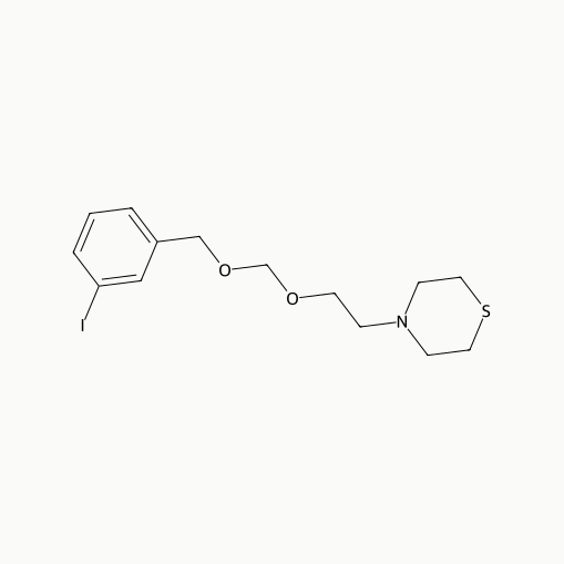 Ic1cccc(COCOCCN2CCSCC2)c1